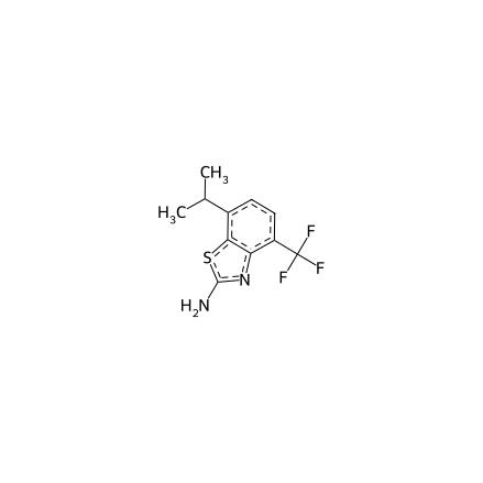 CC(C)c1ccc(C(F)(F)F)c2nc(N)sc12